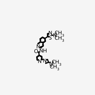 CN(C)c1ncc(-c2ccc3cnc(NC(=O)c4ccnc(N5CC(N(C)C)C5)c4)cc3c2)s1